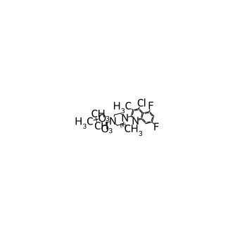 Cc1c(N2CCN(C(=O)OC(C)(C)C)C[C@H]2C)nc2cc(F)cc(F)c2c1Cl